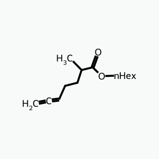 C=C=CCCC(C)C(=O)OCCCCCC